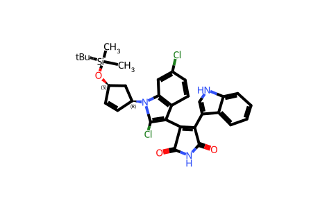 CC(C)(C)[Si](C)(C)O[C@@H]1C=C[C@H](n2c(Cl)c(C3=C(c4c[nH]c5ccccc45)C(=O)NC3=O)c3ccc(Cl)cc32)C1